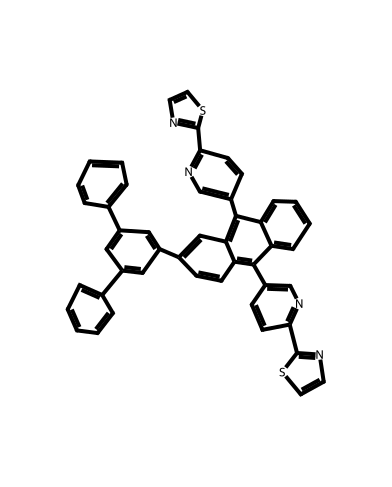 c1ccc(-c2cc(-c3ccccc3)cc(-c3ccc4c(-c5ccc(-c6nccs6)nc5)c5ccccc5c(-c5ccc(-c6nccs6)nc5)c4c3)c2)cc1